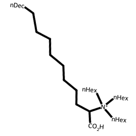 CCCCCCCCCCCCCCCCCCC(C(=O)O)[N+](CCCCCC)(CCCCCC)CCCCCC